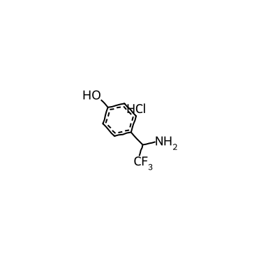 Cl.NC(c1ccc(O)cc1)C(F)(F)F